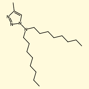 CCCCCCCCN(CCCCCCCC)n1cc(C)nn1